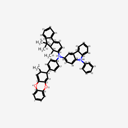 CC1C=C2Oc3ccccc3OC2=CC1c1ccc(N(C2=CC=C3c4ccccc4C(C)(C)C3C2C)c2ccc3c(c2)c2ccccc2n3-c2ccccc2)cc1